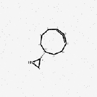 C1=CCCC[C@@H](C2CN2)CCC=1